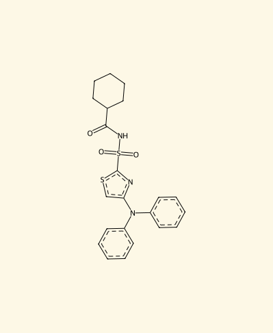 O=C(NS(=O)(=O)c1nc(N(c2ccccc2)c2ccccc2)cs1)C1CCCCC1